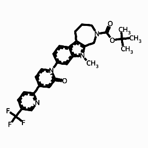 Cn1c2c(c3ccc(-n4ccc(-c5ccc(C(F)(F)F)cn5)cc4=O)cc31)CCCN(C(=O)OC(C)(C)C)C2